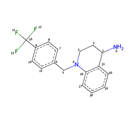 NC1CCN(Cc2ccc(C(F)(F)F)cc2)c2ccccc21